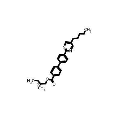 CCCCCc1cnc(-c2ccc(-c3ccc(C(=O)OC[C@@H](C)CC)cc3)cc2)nc1